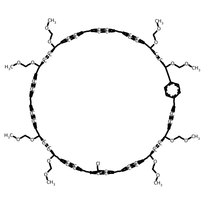 COCOC12CCC(OCOC)(CC1)c1ccc(cc1)-c1ccc(cc1)C1(OCOC)CCC(OCOC)(CC1)c1ccc(cc1)-c1ccc(c(Cl)c1)-c1ccc(cc1)C1(OCOC)CCC(OCOC)(CC1)c1ccc(cc1)-c1ccc(cc1)C1(OCOC)CCC(OCOC)(CC1)c1ccc(cc1)-c1ccc(cc1)-c1ccc2cc1